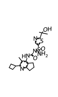 Cc1c(C2CCC2)nc2c(c1NC(=O)N=[S@@](N)(=O)c1cnc(C(C)(C)O)s1)CCC2